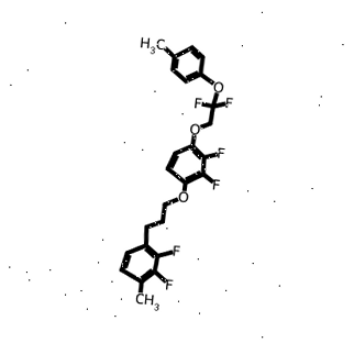 Cc1ccc(OC(F)(F)COc2ccc(OCCCc3ccc(C)c(F)c3F)c(F)c2F)cc1